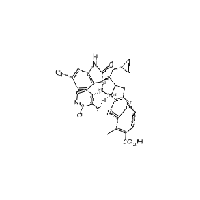 Cc1c(C(=O)O)ccn2c3c(nc12)[C@@H]1C(C3)N(CC2CC2)[C@@]2(C(=O)Nc3cc(Cl)ccc32)[C@H]1c1ccnc(Cl)c1F